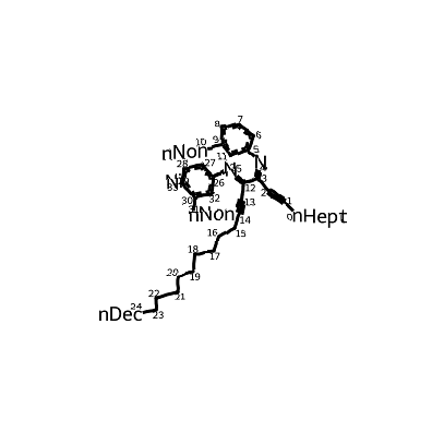 CCCCCCCC#CC(=Nc1cccc(CCCCCCCCC)c1)C(C#CCCCCCCCCCCCCCCCCCCC)=Nc1cccc(CCCCCCCCC)c1.[Ni]